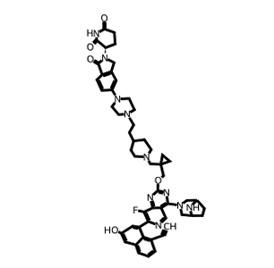 C#Cc1cccc2cc(O)cc(-c3ncc4c(N5CC6CCC(C5)N6)nc(OCC5(CN6CCC(CCN7CCN(c8ccc9c(c8)CN([C@H]8CCC(=O)NC8=O)C9=O)CC7)CC6)CC5)nc4c3F)c12